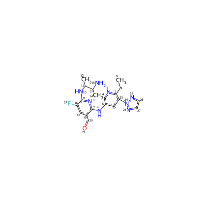 CCc1ncc(Nc2nc(NC(C)C(C)N)c(F)cc2C=O)cc1-n1nccn1